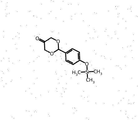 C[Si](C)(C)Oc1ccc(C2OCC(=O)CO2)cc1